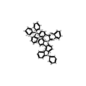 c1ccc(-n2c3ccccc3c3c4c5ccccc5n(-c5nc6ccccc6nc5-c5ccc([Si](c6ccccc6)(c6ccccc6)c6ccccc6)cc5)c4ccc32)cc1